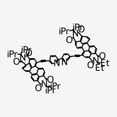 CCC(CC)N1C(=O)c2ccc3c4ccc5c6c(ccc(c7c(C#Cc8ccc(-c9ccc(C#Cc%10cc%11c%12c(ccc%13c%14ccc%15c%16c(ccc(c%10c%12%13)c%16%14)C(=O)N(C(C(C)C)C(C)C)C%15=O)C(=O)N(C(C(C)C)C(C)C)C%11=O)cn9)nc8)cc(c2c37)C1=O)c64)C(=O)N(C(C(C)C)C(C)C)C5=O